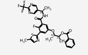 Cc1cnc(-c2cc(O[C@@H](C)[C@H](C)OC(=O)c3ccccc3)cc(C(=O)N[C@H](C)c3cnc(C(F)(F)F)nc3)c2F)s1